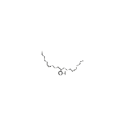 CCCC/C=C\CCCC(O)CCC/C=C\CCCCC